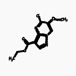 CCOC(=O)c1cnn2cc(OC)c(Cl)nc12